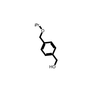 CC(C)OCc1ccc(CO)cc1